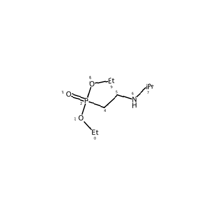 CCOP(=O)(CCNC(C)C)OCC